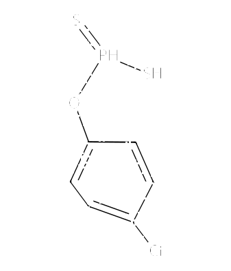 S=[PH](S)Oc1ccc(Cl)cc1